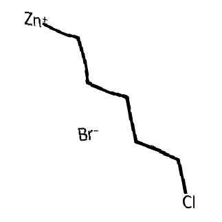 ClCCCC[CH2][Zn+].[Br-]